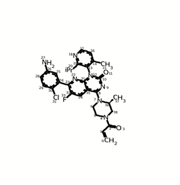 C=CC(=O)N1CCN(c2nc(=O)n(-c3c(C)ccnc3C(C)C)c3nc(-c4cc(N)ccc4Cl)c(F)cc23)[C@@H](C)C1